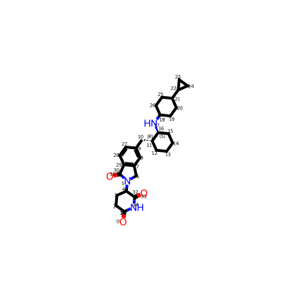 O=C1CCC(N2Cc3cc(C[C@H]4CCCC[C@@H]4NC4CCC(C5CC5)CC4)ccc3C2=O)C(=O)N1